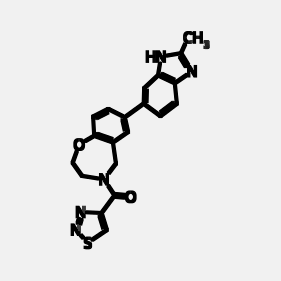 Cc1nc2ccc(-c3ccc4c(c3)CN(C(=O)c3csnn3)CCO4)cc2[nH]1